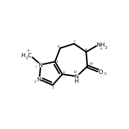 Cn1ncc2c1CCC(N)C(=O)N2